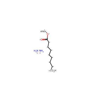 CCCCCCOC(=O)CCCCCCCC(=O)O.N.N